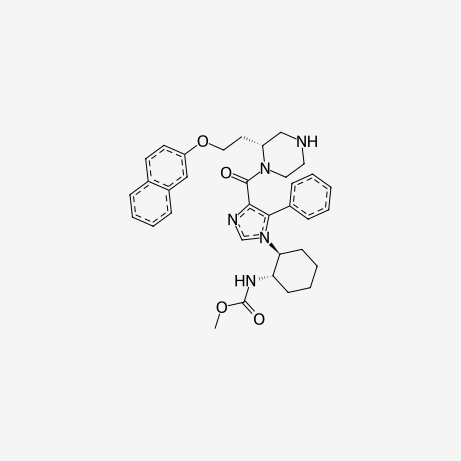 COC(=O)N[C@H]1CCCC[C@@H]1n1cnc(C(=O)N2CCNC[C@H]2CCOc2ccc3ccccc3c2)c1-c1ccccc1